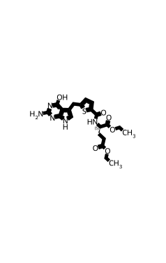 CCOC(=O)CC[C@H](NC(=O)c1ccc(Cc2c[nH]c3nc(N)nc(O)c23)s1)C(=O)OCC